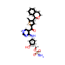 Cc1sc(C(=O)c2cncnc2N[C@@H]2C[C@H](COS(N)(=O)=O)[C@@H](O)C2)cc1C1OCCc2ccccc21